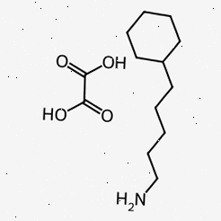 NCCCCCC1CCCCC1.O=C(O)C(=O)O